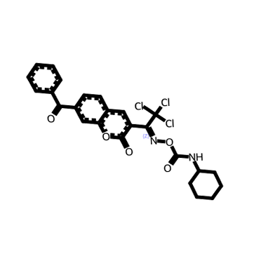 O=C(NC1CCCCC1)O/N=C(/c1cc2ccc(C(=O)c3ccccc3)cc2oc1=O)C(Cl)(Cl)Cl